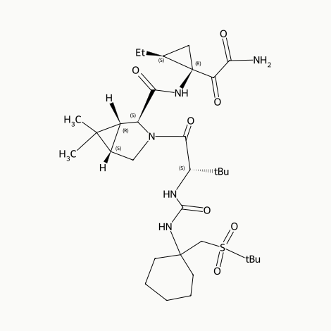 CC[C@H]1C[C@]1(NC(=O)[C@@H]1[C@@H]2[C@H](CN1C(=O)[C@@H](NC(=O)NC1(CS(=O)(=O)C(C)(C)C)CCCCC1)C(C)(C)C)C2(C)C)C(=O)C(N)=O